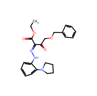 CCOC(=O)/C(=N/Nc1ccccc1N1CCCC1)C(=O)COCc1ccccc1